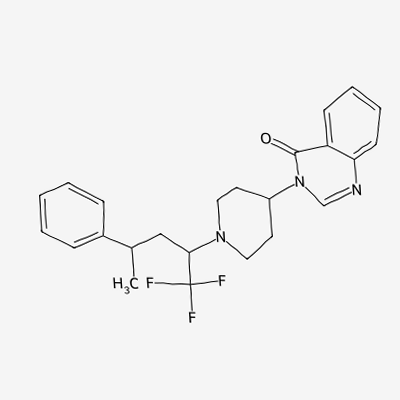 CC(CC(N1CCC(n2cnc3ccccc3c2=O)CC1)C(F)(F)F)c1ccccc1